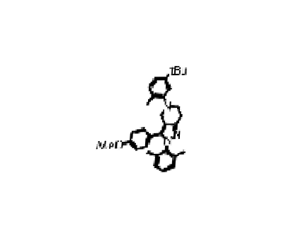 COc1ccc(-c2c3c(nn2-c2c(C)cccc2C)CCN(c2cc(C(C)(C)C)ccc2C)C3)cc1